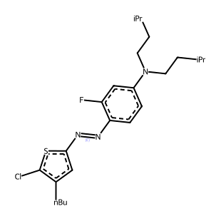 CCCCc1cc(/N=N/c2ccc(N(CCC(C)C)CCC(C)C)cc2F)sc1Cl